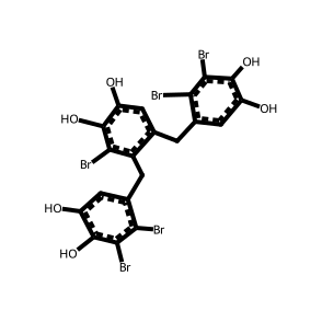 Oc1cc(Cc2cc(O)c(O)c(Br)c2Cc2cc(O)c(O)c(Br)c2Br)c(Br)c(Br)c1O